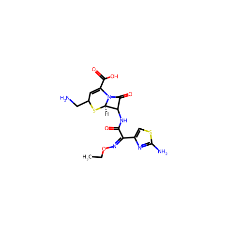 CCO/N=C(\C(=O)NC1C(=O)N2C(C(=O)O)=CC(CN)S[C@H]12)c1csc(N)n1